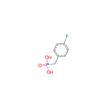 O=P(O)(O)Cc1ccc(F)cc1